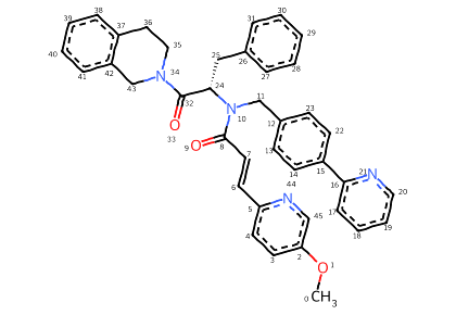 COc1ccc(C=CC(=O)N(Cc2ccc(-c3ccccn3)cc2)[C@@H](Cc2ccccc2)C(=O)N2CCc3ccccc3C2)nc1